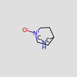 [O-][N+]12CCC(CC1)CNC2